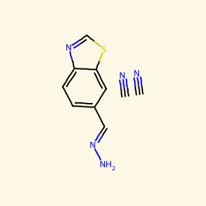 C#N.C#N.NN=Cc1ccc2ncsc2c1